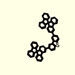 C1=CC2=C(CC1)C1=C(C=CCC1)C21C2=C(C=CCC2)c2cc(-c3ccc4sc5ccc(C6=CC7=C(CC6)C6(c8ccccc87)c7ccccc7-c7ccccc76)cc5c4c3)ccc21